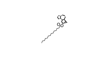 CCCCCCCCCCCCCC(=O)Oc1cc2c(c3c1C=3)=CC=CC1=C2C=CC1